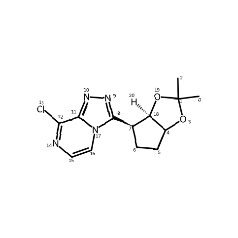 CC1(C)OC2CC[C@@H](c3nnc4c(Cl)nccn34)[C@H]2O1